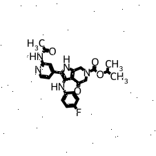 CC(=O)Nc1cc(-c2[nH]c3c(c2Nc2ccc(F)cc2)C(=O)CN(C(=O)OC(C)C)C3)ccn1